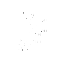 N/C(=C\NC1C(O)C(CO)OC(Sc2cncc(Cl)c2)C1O)c1cc(F)c(C(F)(F)F)c(F)c1